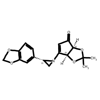 CC1(C)O[C@@H]2C(=O)C=C(N3C[C@@H]3c3ccc4c(c3)OCO4)[C@@H]2O1